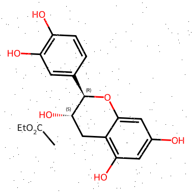 CCOC(C)=O.Oc1cc(O)c2c(c1)O[C@H](c1ccc(O)c(O)c1)[C@@H](O)C2